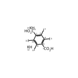 O=C(O)c1c(I)c(I)c(C(=O)O)c(I)c1I.[KH].[KH]